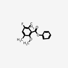 COc1c(C)cc(F)c(C)c1C(=O)Oc1ccccc1